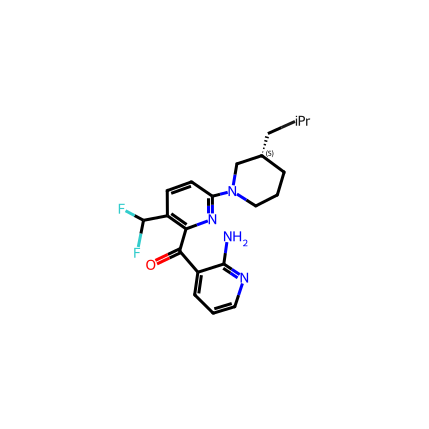 CC(C)C[C@@H]1CCCN(c2ccc(C(F)F)c(C(=O)c3cccnc3N)n2)C1